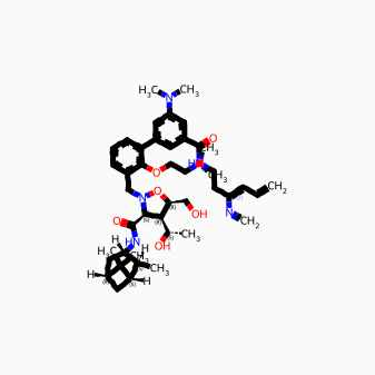 C=C/C=C(/CCNC(=O)c1cc(-c2cccc(CN3O[C@@H](CO)[C@@H]([C@H](C)O)[C@H]3C(=O)N[C@H]3C[C@H]4C[C@@H]([C@@H]3C)C4(C)C)c2OCCN(C)C)cc(N(C)C)c1)N=C